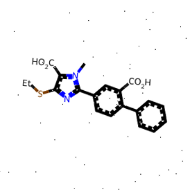 CCSc1nc(-c2ccc(-c3ccccc3)c(C(=O)O)c2)n(C)c1C(=O)O